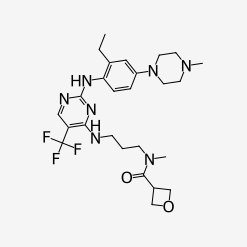 CCc1cc(N2CCN(C)CC2)ccc1Nc1ncc(C(F)(F)F)c(NCCCN(C)C(=O)C2COC2)n1